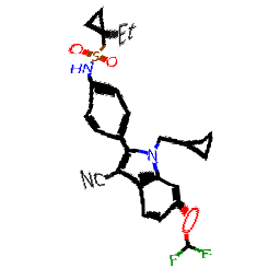 CCC1(S(=O)(=O)Nc2ccc(-c3c(C#N)c4ccc(OC(F)F)cc4n3CC3CC3)cc2)CC1